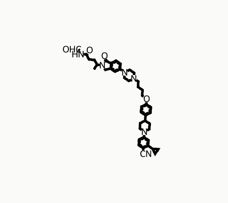 CC(CCC(=O)NC=O)N1Cc2cc(N3CCN(CCCCOc4ccc(C5CCN(c6ccc(C#N)c(C7CC7)c6)CC5)cc4)CC3)ccc2C1=O